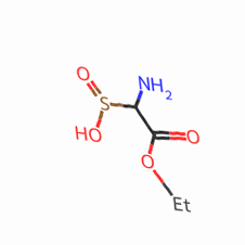 CCOC(=O)C(N)S(=O)O